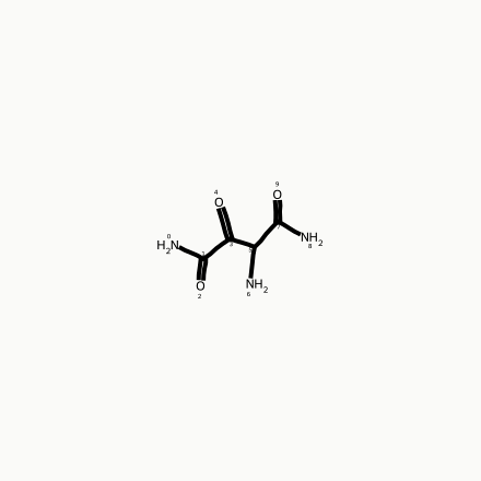 NC(=O)C(=O)C(N)C(N)=O